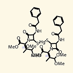 COC(=O)/C(=C(\C)C(OC)OC)N1C(=O)C(NC(=O)Cc2ccccc2)C1[S][Hg][S]C1C(NC(=O)Cc2ccccc2)C(=O)N1/C(C(=O)OC)=C(/C)C(OC)OC